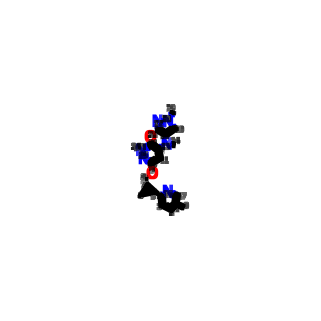 Cc1ccc([C@H]2C[C@@H]2COc2cc(N(C)c3cnn(C)c3)c(=O)n(C)n2)nc1